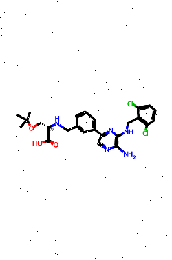 CC(C)(C)OC[C@H](NCc1cccc(-c2cnc(N)c(NCc3c(Cl)cccc3Cl)n2)c1)C(=O)O